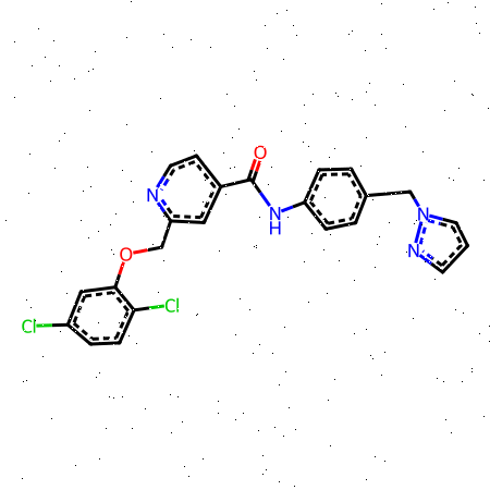 O=C(Nc1ccc(Cn2cccn2)cc1)c1ccnc(COc2cc(Cl)ccc2Cl)c1